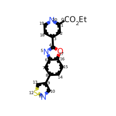 CCOC(=O)c1cc(-c2nc3cc(-c4cnsc4)ccc3o2)ccn1